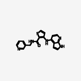 O=C(NCc1cccnc1)c1sccc1Nc1ccnc2[nH]ccc12